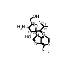 C[C@H](N)C(=O)[C@@]1(n2cnc3c(N)ncnc32)O[C@H](CO)[C@@H](N)[C@H]1O